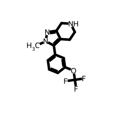 Cn1nc2c(c1-c1cccc(OC(F)(F)F)c1)CCNC2